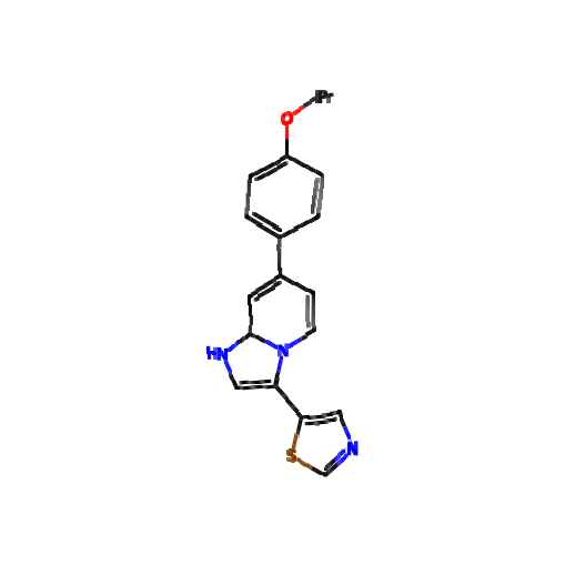 CC(C)Oc1ccc(C2=CC3NC=C(c4cncs4)N3C=C2)cc1